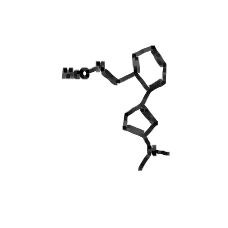 CON=Cc1ccccc1C1=CC(N(C)C)=CC1